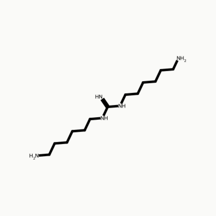 N=C(NCCCCCCN)NCCCCCCN